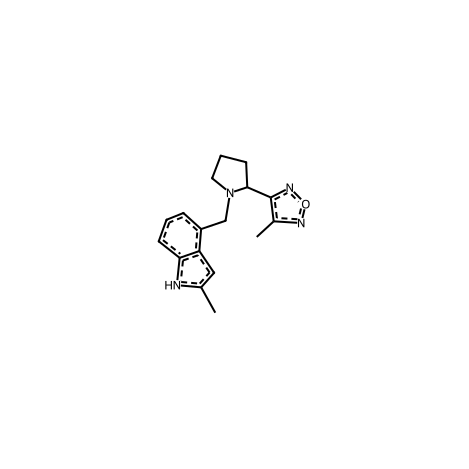 Cc1cc2c(CN3CCCC3c3nonc3C)cccc2[nH]1